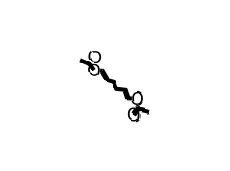 CC(=O)OC=CCCC=COC(C)=O